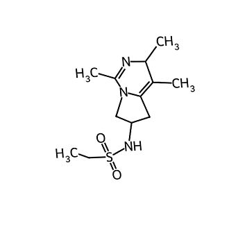 CCS(=O)(=O)NC1CC2=C(C)C(C)N=C(C)N2C1